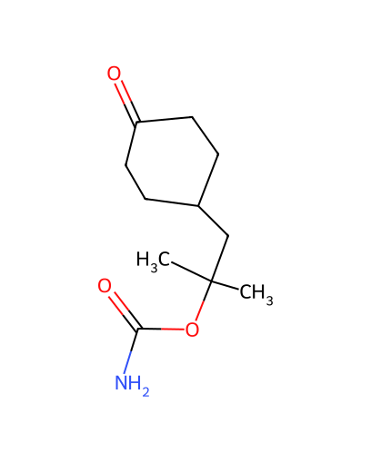 CC(C)(CC1CCC(=O)CC1)OC(N)=O